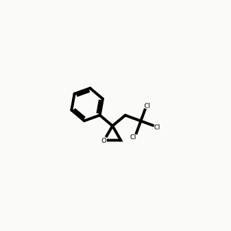 ClC(Cl)(Cl)CC1(c2ccccc2)CO1